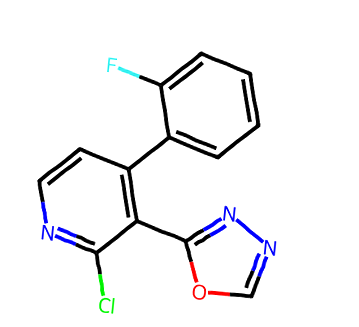 Fc1ccccc1-c1ccnc(Cl)c1-c1nnco1